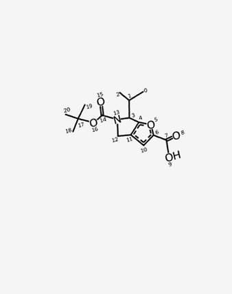 CC(C)C1c2oc(C(=O)O)cc2CN1C(=O)OC(C)(C)C